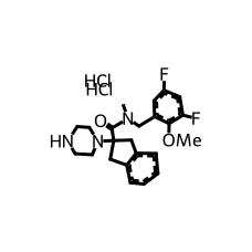 COc1c(F)cc(F)cc1CN(C)C(=O)C1(N2CCNCC2)Cc2ccccc2C1.Cl.Cl